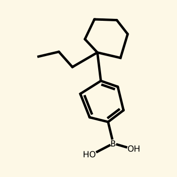 CCCC1(c2ccc(B(O)O)cc2)CCCCC1